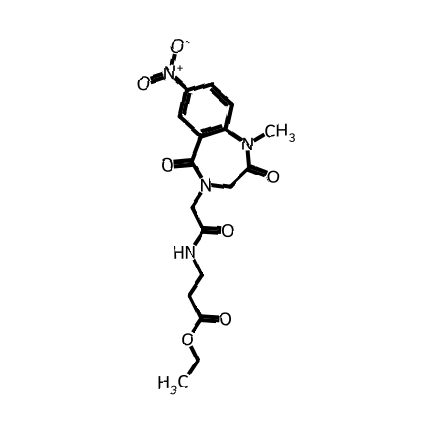 CCOC(=O)CCNC(=O)CN1CC(=O)N(C)c2ccc([N+](=O)[O-])cc2C1=O